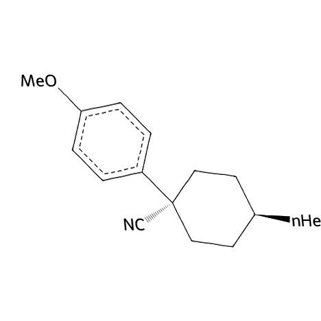 CCCCCC[C@H]1CC[C@@](C#N)(c2ccc(OC)cc2)CC1